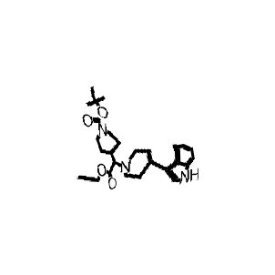 CCOC(=O)C(C1CCN(C(=O)OC(C)(C)C)CC1)N1CCC(c2c[nH]c3ccccc23)CC1